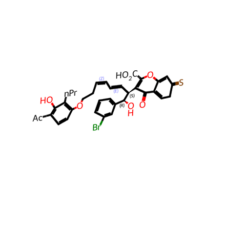 CCCc1c(OCC/C=C\C=C\[C@@H](c2c(C(=O)O)oc3c(c2=O)=CCC(=S)C=3)[C@@H](O)c2cccc(Br)c2)ccc(C(C)=O)c1O